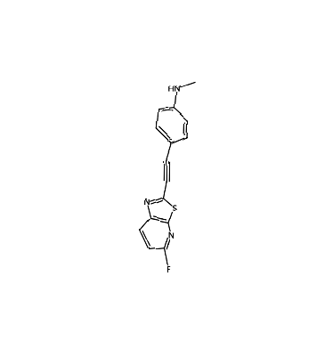 CNc1ccc(C#Cc2nc3ccc(F)nc3s2)cc1